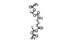 CC(OC(=O)NCCSC(=O)OC(C)OC(=O)C(C)C)OC(=O)C(C)C